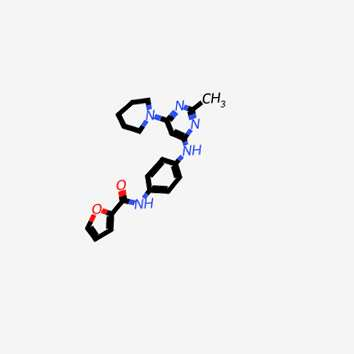 Cc1nc(Nc2ccc(NC(=O)c3ccco3)cc2)cc(N2CCCCC2)n1